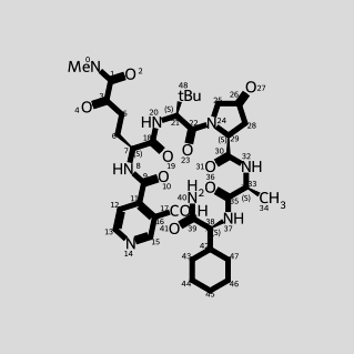 CNC(=O)C(=O)CC[C@H](NC(=O)c1ccncc1C(=O)O)C(=O)N[C@H](C(=O)N1CC(=O)C[C@H]1C(=O)N[C@@H](C)C(=O)N[C@H](C(N)=O)C1CCCCC1)C(C)(C)C